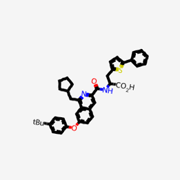 CC(C)(C)c1ccc(Oc2ccc3cc(C(=O)NC(Cc4ccc(-c5ccccc5)s4)C(=O)O)nc(CC4CCCC4)c3c2)cc1